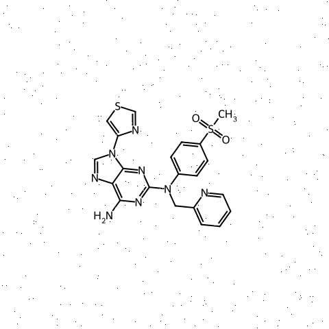 CS(=O)(=O)c1ccc(N(Cc2ccccn2)c2nc(N)c3ncn(-c4cscn4)c3n2)cc1